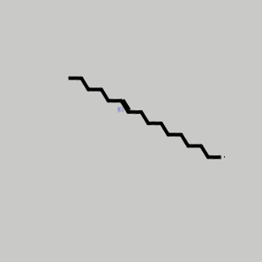 [CH2]CCCCCCCC/C=C/CCCCC